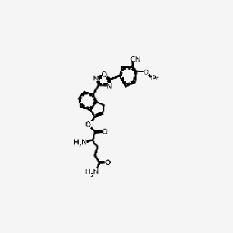 CC(C)Oc1ccc(-c2nc(-c3cccc4c3CC=C4OC(=O)C(N)CCC(N)=O)no2)cc1C#N